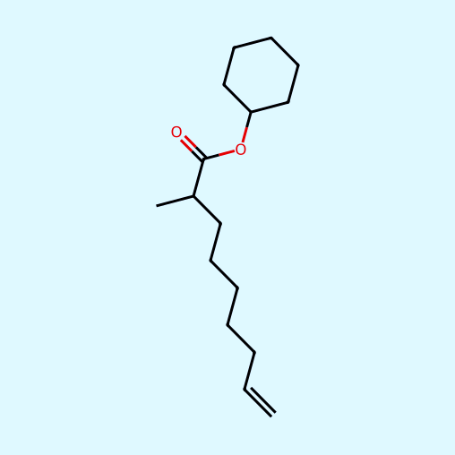 C=CCCCCCC(C)C(=O)OC1CCCCC1